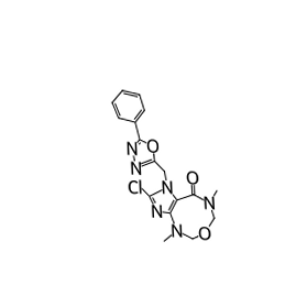 CN1COCN(C)c2nc(Cl)n(Cc3nnc(-c4ccccc4)o3)c2C1=O